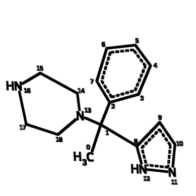 CC(c1ccccc1)(c1ccn[nH]1)N1CCNCC1